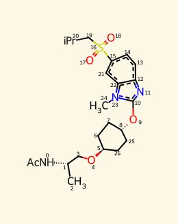 CC(=O)N[C@@H](C)CO[C@H]1CC[C@H](Oc2nc3ccc(S(=O)(=O)CC(C)C)cc3n2C)CC1